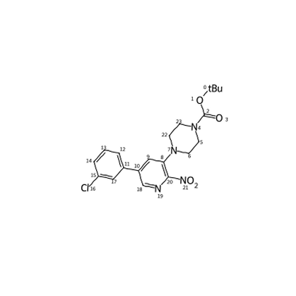 CC(C)(C)OC(=O)N1CCN(c2cc(-c3cccc(Cl)c3)cnc2[N+](=O)[O-])CC1